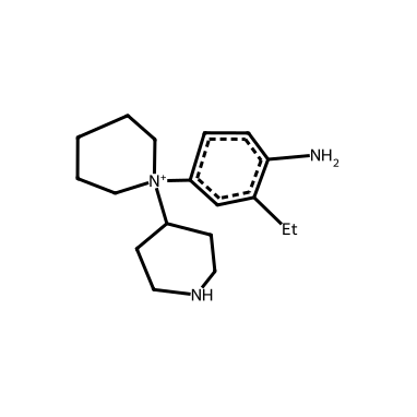 CCc1cc([N+]2(C3CCNCC3)CCCCC2)ccc1N